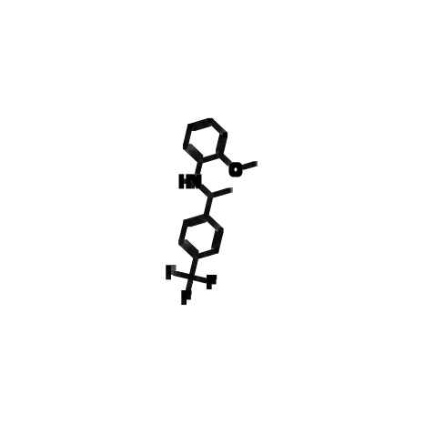 COc1ccccc1NC(C)c1ccc(C(F)(F)F)cc1